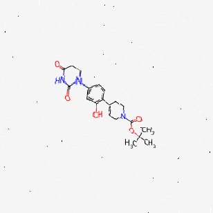 CC(C)(C)OC(=O)N1CC=C(c2ccc(N3CCC(=O)NC3=O)cc2O)CC1